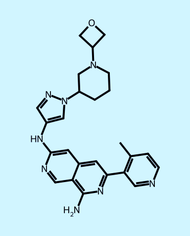 Cc1ccncc1-c1cc2cc(Nc3cnn(C4CCCN(C5COC5)C4)c3)ncc2c(N)n1